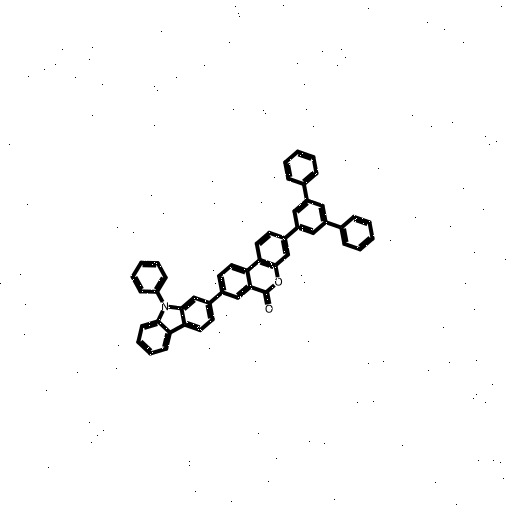 O=c1oc2cc(-c3cc(-c4ccccc4)cc(-c4ccccc4)c3)ccc2c2ccc(-c3ccc4c5ccccc5n(-c5ccccc5)c4c3)cc12